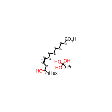 CCCC(O)(O)O.CCCCCCC(O)C/C=C\CCCCCCCC(=O)O